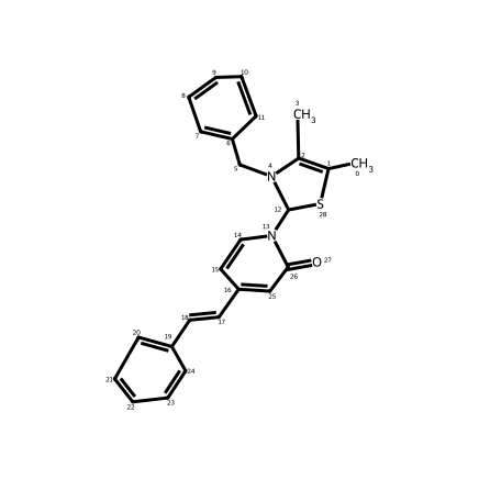 CC1=C(C)N(Cc2ccccc2)C(n2ccc(C=Cc3ccccc3)cc2=O)S1